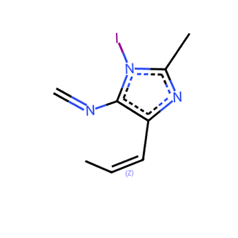 C=Nc1c(/C=C\C)nc(C)n1I